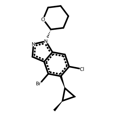 C[C@@H]1C[C@@H]1c1c(Cl)cc2c(cnn2[C@H]2CCCCO2)c1Br